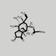 C=C[C@]1(C)C[C@@H](OC(=O)NC(C)=O)[C@]2(C)[C@H](C)CC[C@]3(C[C@H](O)C(=O)[C@H]32)[C@@H](C)[C@@H]1O